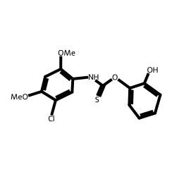 COc1cc(OC)c(NC(=S)Oc2ccccc2O)cc1Cl